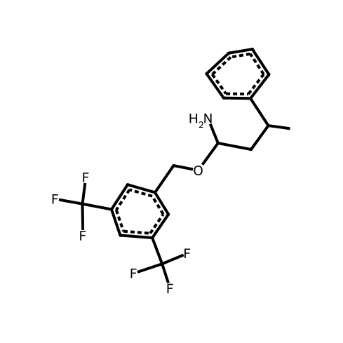 CC(CC(N)OCc1cc(C(F)(F)F)cc(C(F)(F)F)c1)c1ccccc1